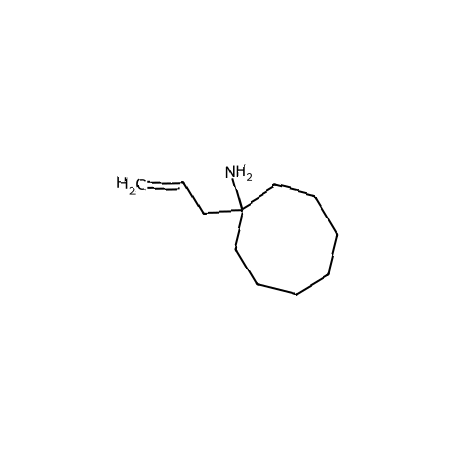 C=CCC1(N)CCCCCCC1